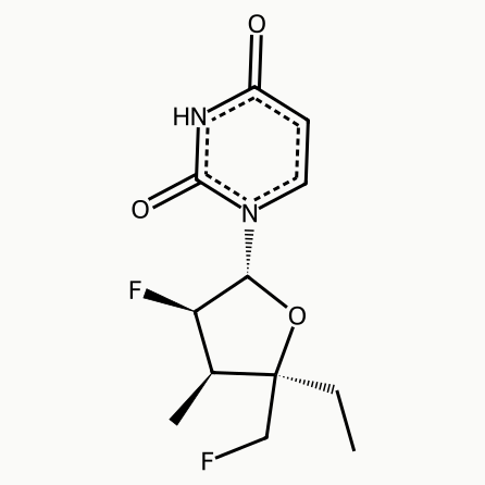 CC[C@@]1(CF)O[C@@H](n2ccc(=O)[nH]c2=O)[C@H](F)[C@@H]1C